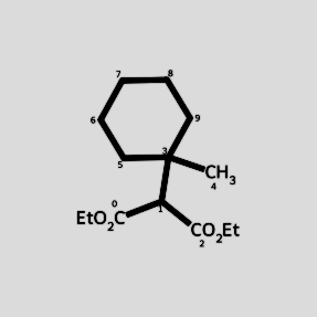 CCOC(=O)C(C(=O)OCC)C1(C)CCCCC1